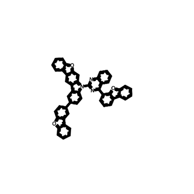 c1ccc2c(-c3cccc4c3oc3ccccc34)nc(-n3c4ccc(-c5ccc6oc7ccccc7c6c5)cc4c4cc5c(cc43)oc3ccccc35)nc2c1